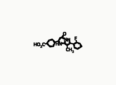 Cc1c(-c2ccccc2F)nn2c(=O)cc(-c3ccc(C(=O)O)cc3)[nH]c12